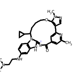 Cc1cc2cc(n1)-c1cnn(C)c1OCCCC(C1CC1)N1/C(=N/C2=O)Nc2cc(NCCN(C)C)ccc21